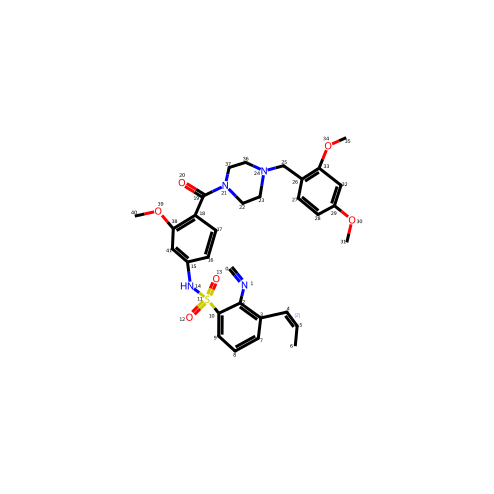 C=Nc1c(/C=C\C)cccc1S(=O)(=O)Nc1ccc(C(=O)N2CCN(Cc3ccc(OC)cc3OC)CC2)c(OC)c1